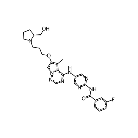 Cc1c(OCCCN2CCC[C@H]2CO)cn2ncnc(Nc3cnc(NC(=O)c4cccc(F)c4)nc3)c12